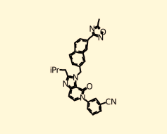 Cc1nc(-c2ccc3ccc(Cn4c(CC(C)C)nc5ccn(-c6cccc(C#N)c6)c(=O)c54)cc3c2)no1